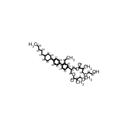 C=C(COC)C(=O)OCC(COC(=O)C(=C)COCCO)c1ccc(-c2ccc(C3CCC(CCCCC)CC3)cc2)c(CC)c1